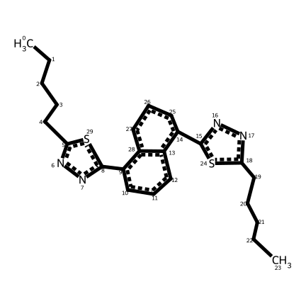 CCCCCc1nnc(-c2cccc3c(-c4nnc(CCCCC)s4)cccc23)s1